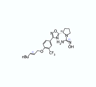 CCCC/C=C/COc1ccc(-c2noc([C@@H]3CCCN3/C(N)=N/O)n2)cc1C(F)(F)F